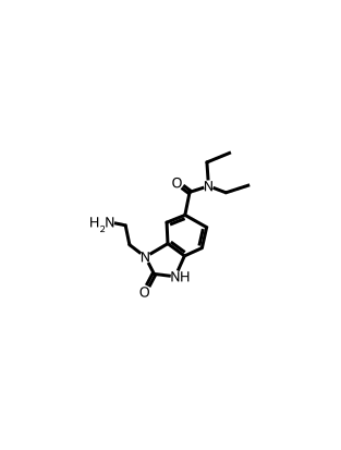 CCN(CC)C(=O)c1ccc2[nH]c(=O)n(CCN)c2c1